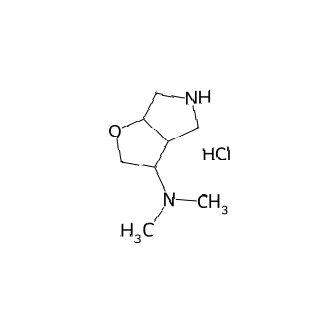 CN(C)C1COC2CNCC21.Cl